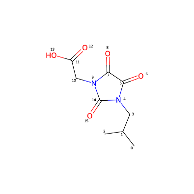 CC(C)CN1C(=O)C(=O)N(CC(=O)O)C1=O